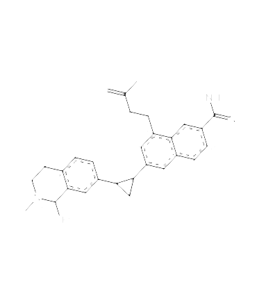 C=C(C)CCc1cc(C2CC2c2ccc3c(c2)C(C(C)C)N(C)CC3)cc2ccc(C(=N)N)cc12